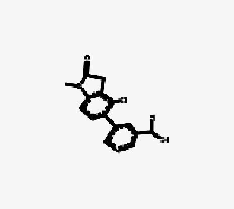 CN1C(=O)Cc2c1ccc(-c1cncc(C(O)Cl)c1)c2Cl